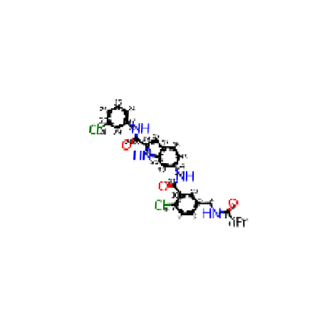 CC(C)C(=O)NCc1ccc(Cl)c(C(=O)Nc2ccc3cc(C(=O)Nc4cccc(Cl)c4)[nH]c3c2)c1